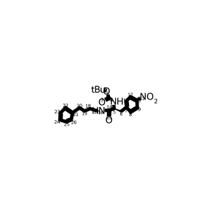 CC(C)(C)OC(=O)N[C@@H](Cc1ccc([N+](=O)[O-])cc1)C(=O)NCCCCc1ccccc1